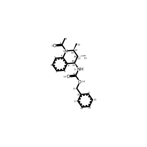 CC(=O)N1c2ccccc2[C@H](NC(=O)OCc2ccccc2)[C@@H](C)[C@@H]1C